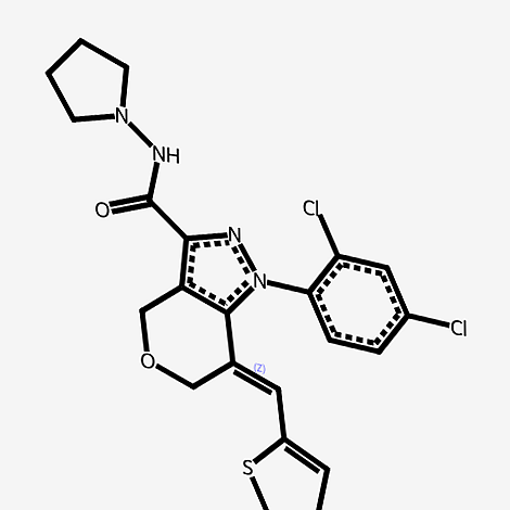 O=C(NN1CCCC1)c1nn(-c2ccc(Cl)cc2Cl)c2c1COC/C2=C\C1=CCCS1